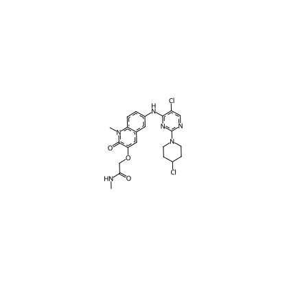 CNC(=O)COc1cc2cc(Nc3nc(N4CCC(Cl)CC4)ncc3Cl)ccc2n(C)c1=O